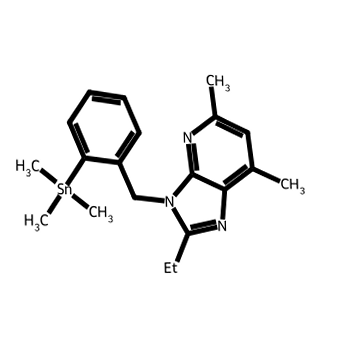 CCc1nc2c(C)cc(C)nc2n1Cc1cccc[c]1[Sn]([CH3])([CH3])[CH3]